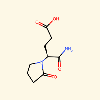 NC(=O)[C@H](CCC(=O)O)N1CCCC1=O